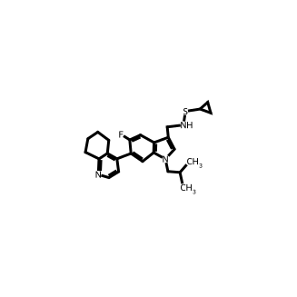 CC(C)Cn1cc(CNSC2CC2)c2cc(F)c(-c3ccnc4c3CCCC4)cc21